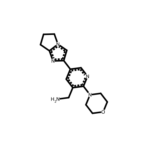 NCc1cc(-c2cn3c(n2)CCC3)cnc1N1CCOCC1